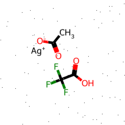 CC(=O)[O-].O=C(O)C(F)(F)F.[Ag+]